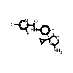 NC1=N[C@@](c2cccc(NC(=O)c3ncc(Cl)cc3F)c2)(C2CC2)[C@@H](F)OC1